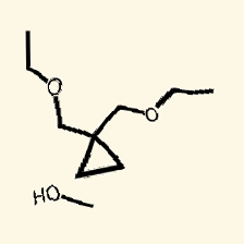 CCOCC1(COCC)CC1.CO